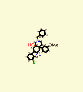 COc1cccc(C23CCN(Cc4ccccc4)CC2(O)Cc2c([nH]c4c(Br)cccc24)C3)c1